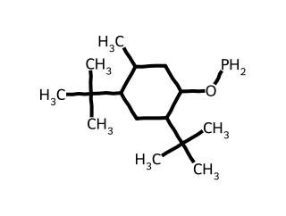 CC1CC(OP)C(C(C)(C)C)CC1C(C)(C)C